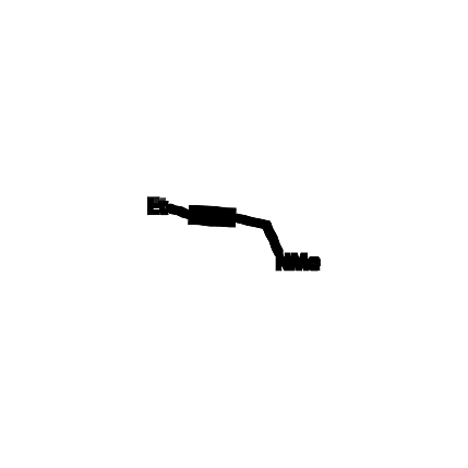 [CH2]CC#CCNC